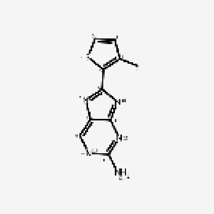 Cc1ccsc1-c1nc2c[nH]c(N)nc-2n1